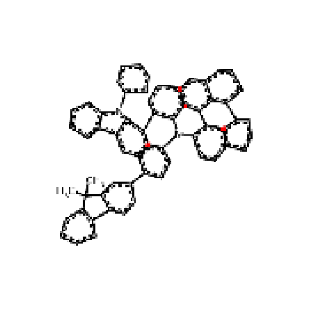 CC1(C)c2ccccc2-c2ccc(-c3ccc(N(c4ccccc4-c4cccc5cccc(-c6ccccc6)c45)c4ccccc4-c4cccc5c6ccccc6n(-c6ccccc6)c45)cc3)cc21